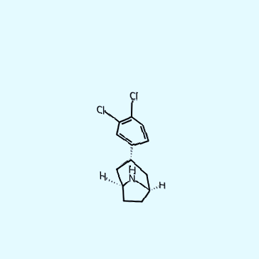 Clc1ccc([C@@H]2C[C@H]3CC[C@@H](C2)N3)cc1Cl